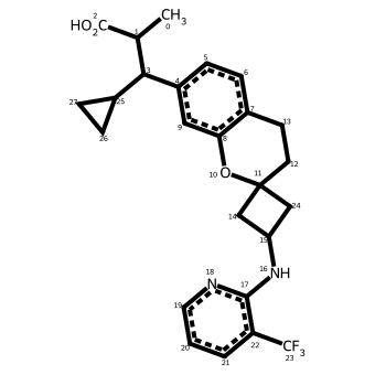 CC(C(=O)O)C(c1ccc2c(c1)OC1(CC2)CC(Nc2ncccc2C(F)(F)F)C1)C1CC1